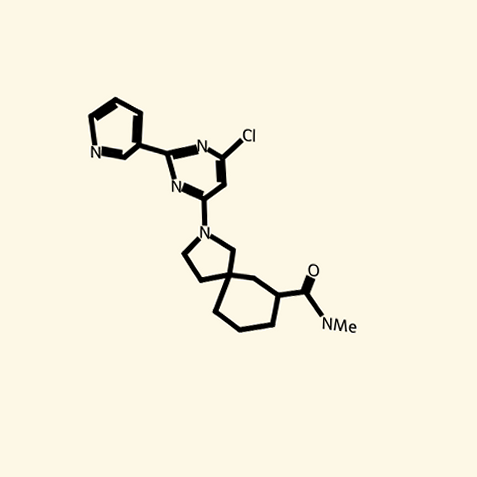 CNC(=O)C1CCCC2(CCN(c3cc(Cl)nc(-c4cccnc4)n3)C2)C1